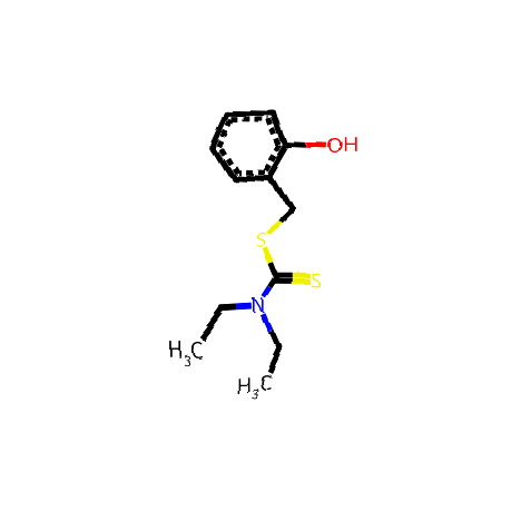 CCN(CC)C(=S)SCc1ccccc1O